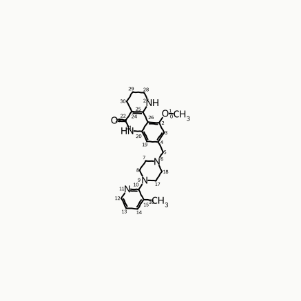 COc1cc(CN2CCN(c3ncccc3C)CC2)cc2[nH]c(=O)c3c(c12)NCCC3